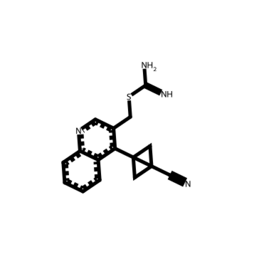 N#CC12CC1(c1c(CSC(=N)N)cnc3ccccc13)C2